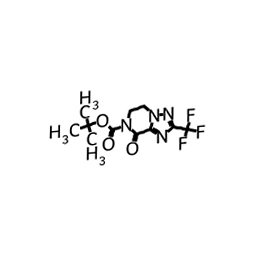 CC(C)(C)OC(=O)N1CCn2nc(C(F)(F)F)nc2C1=O